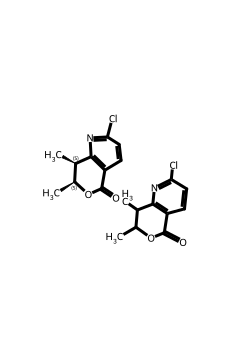 CC1OC(=O)c2ccc(Cl)nc2C1C.C[C@@H]1OC(=O)c2ccc(Cl)nc2[C@@H]1C